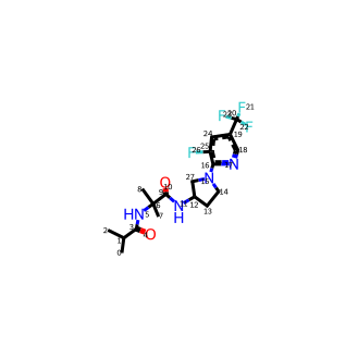 CC(C)C(=O)NC(C)(C)C(=O)NC1CCN(c2ncc(C(F)(F)F)cc2F)C1